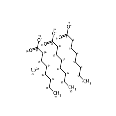 CCCCCCCC(=O)[O-].CCCCCCCC(=O)[O-].CCCCCCCC(=O)[O-].[La+3]